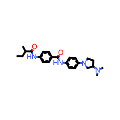 CCC(C)C(=O)Nc1ccc(C(=O)Nc2ccc(N3CCC(N(C)C)C3)cc2)cc1